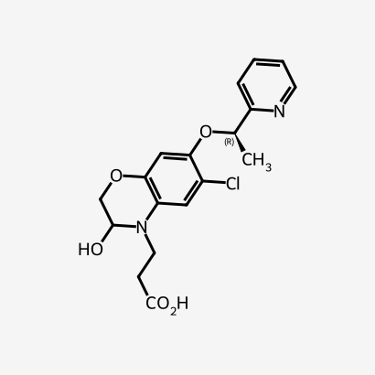 C[C@@H](Oc1cc2c(cc1Cl)N(CCC(=O)O)C(O)CO2)c1ccccn1